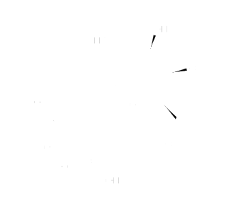 O=C(O)Cc1c(C2O[C@H](CO)[C@H](O)[C@H](O)[C@H]2O)c2ccccc2oc1=O